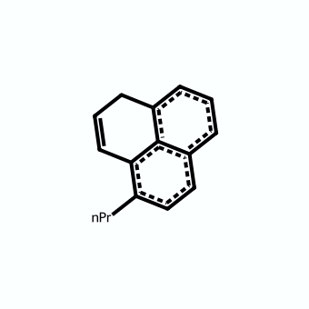 CCCc1ccc2cccc3c2c1C=CC3